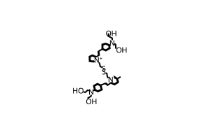 Cc1ccc(/C=C/c2ccc(N(CCO)CCO)cc2)[n+](CCSSCC[n+]2ccccc2/C=C/c2ccc(N(CCO)CCO)cc2)c1